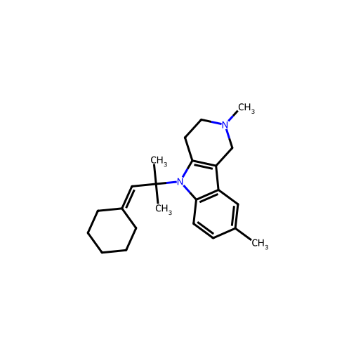 Cc1ccc2c(c1)c1c(n2C(C)(C)C=C2CCCCC2)CCN(C)C1